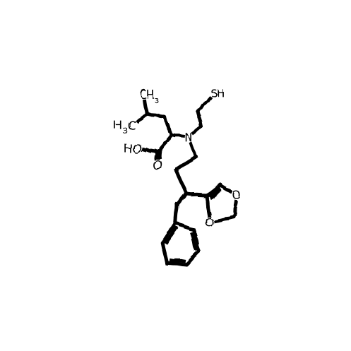 CC(C)CC(C(=O)O)N(CCS)CCC(Cc1ccccc1)C1=COCO1